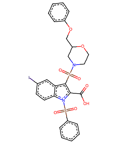 O=C(O)c1c(S(=O)(=O)N2CCOC(COc3ccccc3)C2)c2cc(I)ccc2n1S(=O)(=O)c1ccccc1